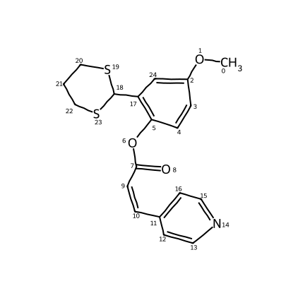 COc1ccc(OC(=O)/C=C\c2ccncc2)c(C2SCCCS2)c1